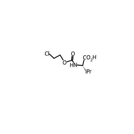 CC(C)[C@H](NC(=O)OCCCl)C(=O)O